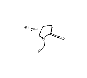 Cl.Cl.O=C1CCCN1CF